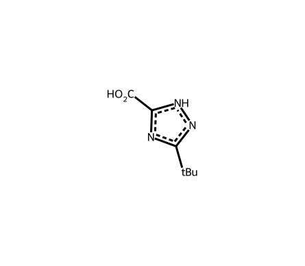 CC(C)(C)c1n[nH]c(C(=O)O)n1